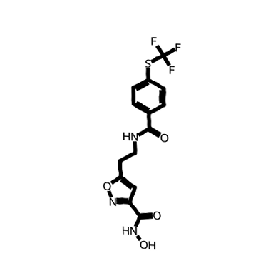 O=C(NCCc1cc(C(=O)NO)no1)c1ccc(SC(F)(F)F)cc1